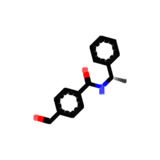 C[C@H](NC(=O)c1ccc(C=O)cc1)c1ccccc1